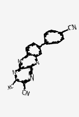 N#Cc1ccc(-c2ccc3nc4nc(C#N)c(C#N)nc4nc3c2)cc1